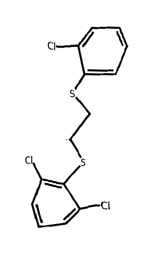 Clc1ccccc1SC[CH]Sc1c(Cl)cccc1Cl